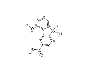 COC(=O)c1ccc(C(C)(O)c2cccc(OC)c2)cc1